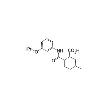 CC1CCC(C(=O)Nc2cccc(OC(C)C)c2)C(C(=O)O)C1